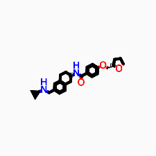 O=C(N[C@H]1CCc2cc(CNC3CC3)ccc2C1)c1ccc(OC[C@@H]2CCCO2)cc1